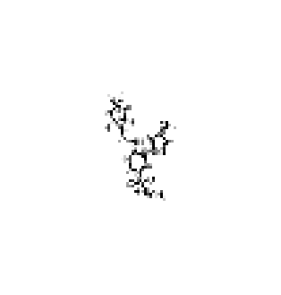 CNS(=O)(=O)c1cnc(NCC2[C@H]3CC(F)(F)C[C@@H]23)c(-c2cn(C)cn2)c1